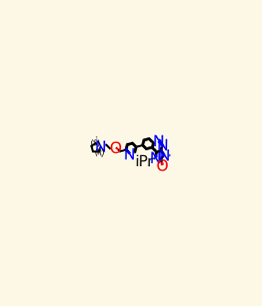 CC(C)n1c(=O)n(C)c2nnc3ccc(-c4ccc(COCCN5[C@H](C)CC[C@@H]5C)nc4)cc3c21